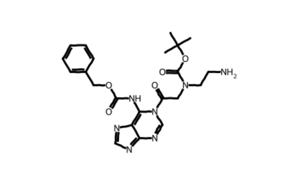 CC(C)(C)OC(=O)N(CCN)CC(=O)n1cnc2ncnc-2c1NC(=O)OCc1ccccc1